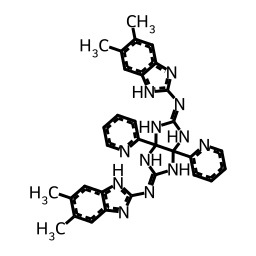 Cc1cc2nc(N=C3NC4(c5ccccn5)NC(=Nc5nc6cc(C)c(C)cc6[nH]5)NC4(c4ccccn4)N3)[nH]c2cc1C